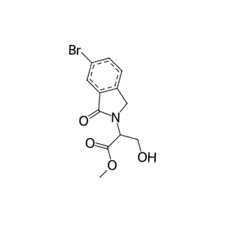 COC(=O)C(CO)N1Cc2ccc(Br)cc2C1=O